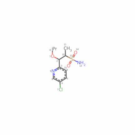 CC(C)OC(c1ccc(Cl)cn1)C(C)S(N)(=O)=O